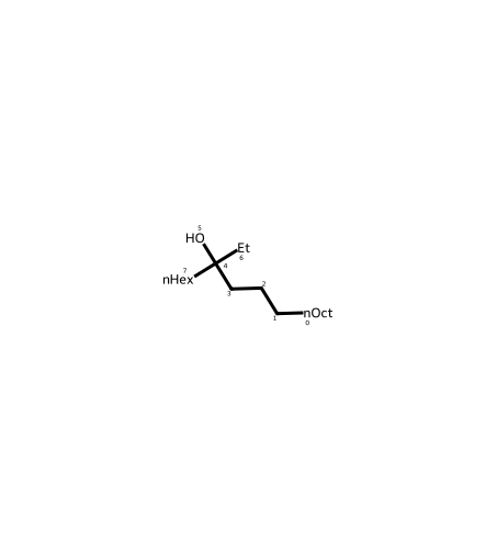 CCCCCCCCCCCC(O)(CC)CCCCCC